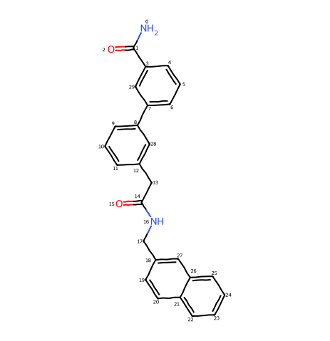 NC(=O)c1cccc(-c2cccc(CC(=O)NCc3ccc4ccccc4c3)c2)c1